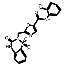 Nc1ccccc1NC(=O)c1cnc(CN2C(=O)Nc3ccccc3S2(=O)=O)o1